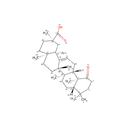 CC1(C)CCC(=O)[C@]2(C)[C@H]3CC=C4[C@@H]5C[C@](C)(C(=O)O)CC[C@]5(C)CC[C@@]4(C)[C@]3(C)CC[C@@H]12